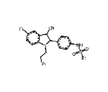 CCS(=O)(=O)Nc1ccc(C2C(C#N)c3cc(Cl)ccc3N2CCC(C)C)cc1